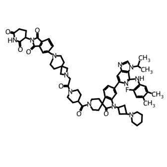 Cc1cc(F)c(Nc2nc(-c3ccc4c(c3)N(C3CC(N5CCCCC5)C3)C(=O)C43CCN(C(=O)C4CCN(C(=O)CN5CC6(CCN(c7ccc8c(c7)C(=O)N(C7CCC(=O)NC7=O)C8=O)CC6)C5)CC4)CC3)cc3ncn(C(C)C)c23)cc1C